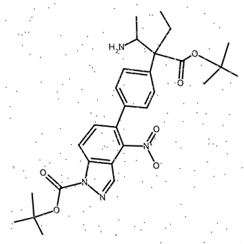 CCC(C(=O)OC(C)(C)C)(c1ccc(-c2ccc3c(cnn3C(=O)OC(C)(C)C)c2[N+](=O)[O-])cc1)C(C)N